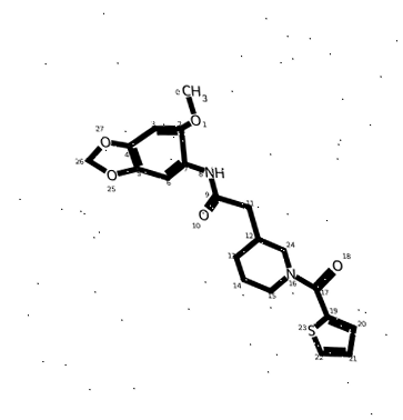 COc1cc2c(cc1NC(=O)CC1CCCN(C(=O)c3cccs3)C1)OCO2